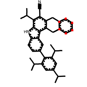 CC(C)c1cc(C(C)C)c(-c2ccc3[nH]c4c(C(C)C)c(C#N)c5c(c4c3c2)C2c3ccccc3C5c3ccccc32)c(C(C)C)c1